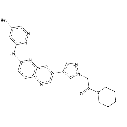 CC(C)c1cnnc(Nc2ccc3ncc(-c4cnn(CC(=O)N5CCCCC5)c4)cc3n2)c1